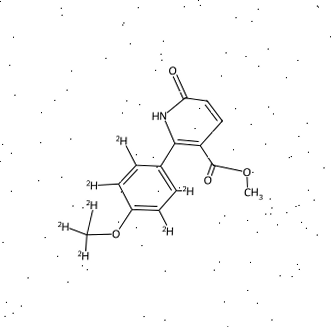 [2H]c1c([2H])c(-c2[nH]c(=O)ccc2C(=O)OC)c([2H])c([2H])c1OC([2H])([2H])[2H]